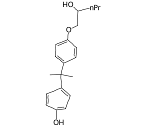 CCCC(O)COc1ccc(C(C)(C)c2ccc(O)cc2)cc1